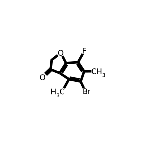 Cc1c(F)c2c(c(C)c1Br)C(=O)CO2